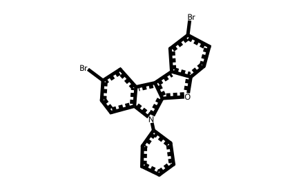 Brc1ccc2oc3c(c2c1)c1cc(Br)ccc1n3-c1ccccc1